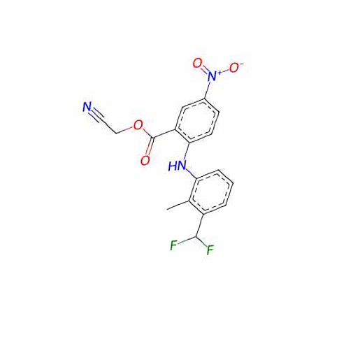 Cc1c(Nc2ccc([N+](=O)[O-])cc2C(=O)OCC#N)cccc1C(F)F